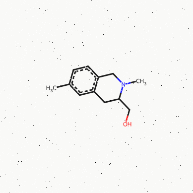 Cc1ccc2c(c1)CC(CO)N(C)C2